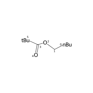 CCCCCOC(=O)C(C)(C)C